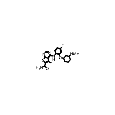 CNC1CCCC(Oc2cc(F)ccc2Nc2ncnc3sc(C(N)=O)c(C)c23)C1